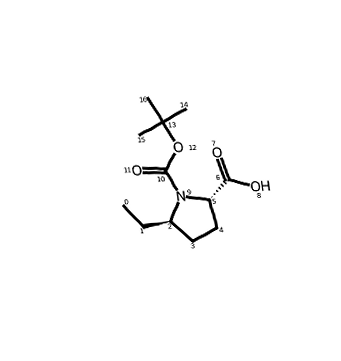 CC[C@@H]1CC[C@@H](C(=O)O)N1C(=O)OC(C)(C)C